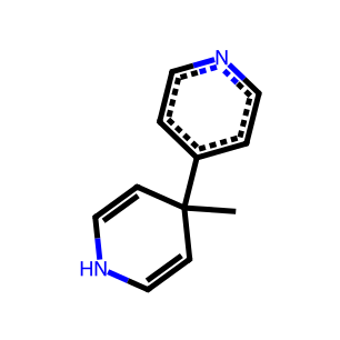 CC1(c2ccncc2)C=CNC=C1